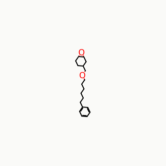 c1ccc(CCCCCCOCC2CCC3OC3C2)cc1